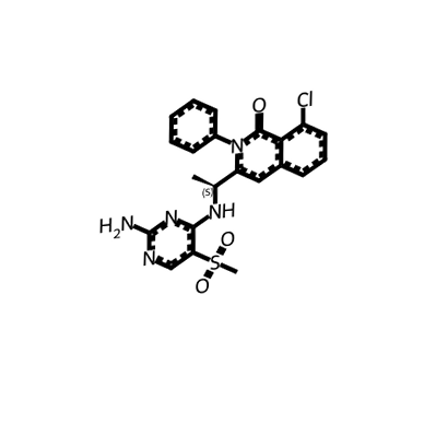 C[C@H](Nc1nc(N)ncc1S(C)(=O)=O)c1cc2cccc(Cl)c2c(=O)n1-c1ccccc1